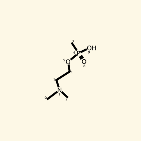 CN(C)CCOP(C)(=O)O